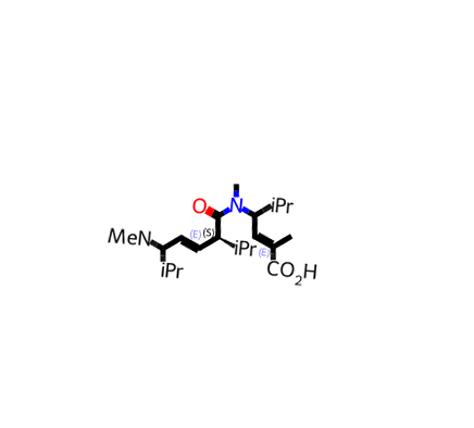 CNC(/C=C/[C@@H](C(=O)N(C)C(/C=C(\C)C(=O)O)C(C)C)C(C)C)C(C)C